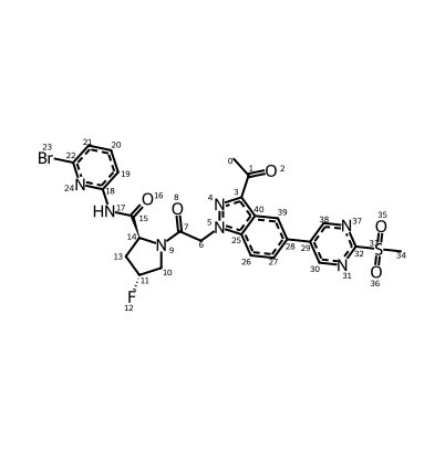 CC(=O)c1nn(CC(=O)N2C[C@H](F)C[C@H]2C(=O)Nc2cccc(Br)n2)c2ccc(-c3cnc(S(C)(=O)=O)nc3)cc12